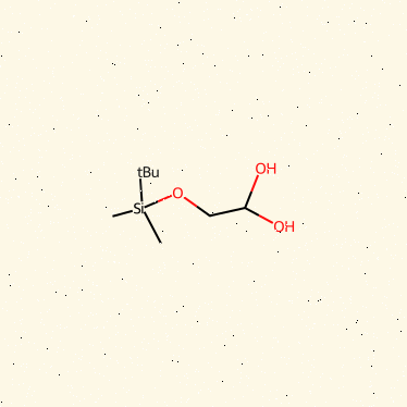 CC(C)(C)[Si](C)(C)OCC(O)O